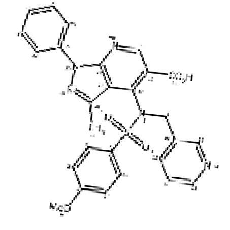 COc1ccc(S(=O)(=O)N(Cc2cccnc2)c2c(C(=O)O)cnc3c2c(C)nn3-c2ccccc2)cc1